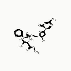 COC(=O)[C@@H](NP(=O)(OC[C@H]1S[C@@H](n2cnc(N)nc2=O)C[C@H]1O)Oc1ccccc1)C(C)C